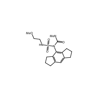 CNC(=O)N(c1c2c(cc3c1CCC3)CCC2)S(=O)(=O)NCCOC